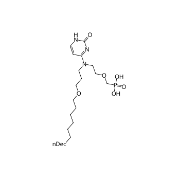 CCCCCCCCCCCCCCCCOCCCN(CCOCP(=O)(O)O)c1cc[nH]c(=O)n1